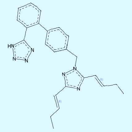 CC/C=C/c1nc(/C=C/CC)n(Cc2ccc(-c3ccccc3-c3nnn[nH]3)cc2)n1